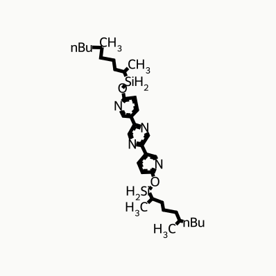 CCCCC(C)CCCC(C)[SiH2]Oc1ccc(-c2cnc(-c3ccc(O[SiH2]C(C)CCCC(C)CCCC)nc3)cn2)cn1